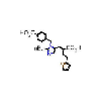 CCCCc1ncc(C=C(CCc2cccs2)C(=O)O)n1Cc1ccc(C(=O)O)cc1